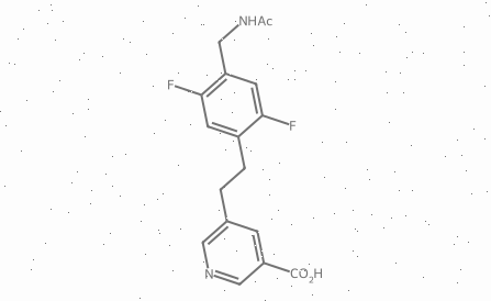 CC(=O)NCc1cc(F)c(CCc2cncc(C(=O)O)c2)cc1F